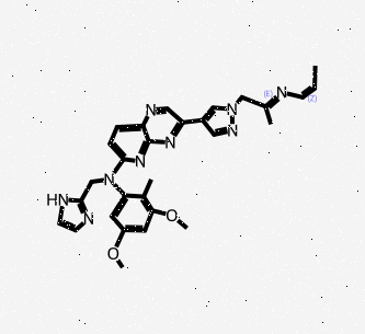 C/C=C\N=C(/C)Cn1cc(-c2cnc3ccc(N(Cc4ncc[nH]4)c4cc(OC)cc(OC)c4C)nc3n2)cn1